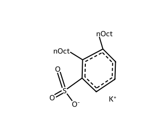 CCCCCCCCc1cccc(S(=O)(=O)[O-])c1CCCCCCCC.[K+]